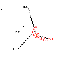 CCCCCCCCCCCCCCCC(=O)OC[C@H](COP(=O)([O-])OC[C@@H](O)COC[C@H](O)CO)OC(=O)CCCCCCCCCCCCCCC.[Na+]